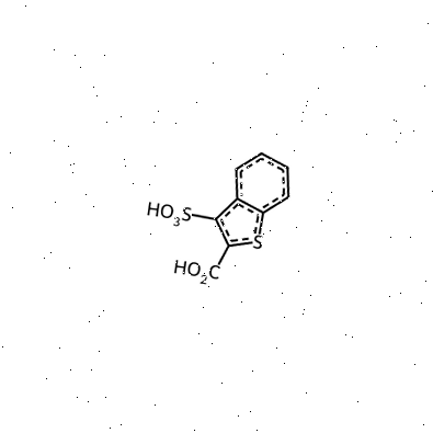 O=C(O)c1sc2ccccc2c1S(=O)(=O)O